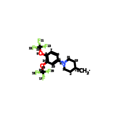 [CH2]C1CCN(c2ccc(OC(F)(F)F)c(OC(F)(F)F)c2)CC1